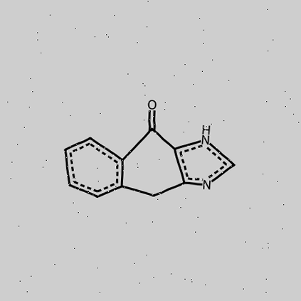 O=C1c2ccccc2Cc2nc[nH]c21